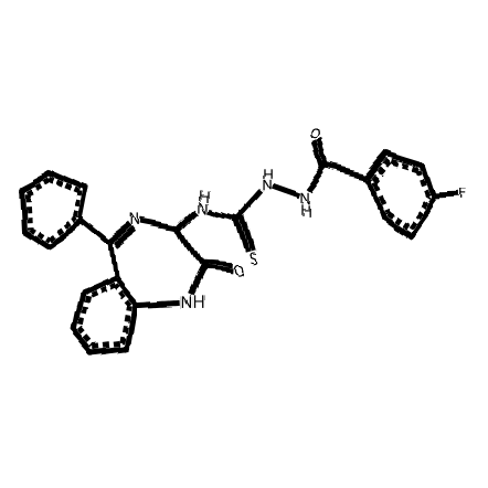 O=C(NNC(=S)NC1N=C(c2ccccc2)c2ccccc2NC1=O)c1ccc(F)cc1